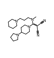 CN(CCCN1CCCCC1)C(=C(C#N)C#N)N1CCC(N2CCCC2)CC1